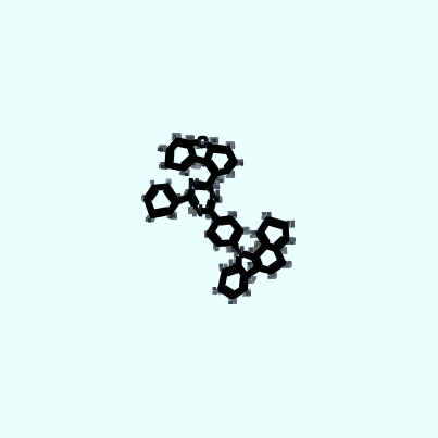 c1ccc(-c2nc(-c3ccc(-n4c5ccccc5c5ccc6ccccc6c54)cc3)nc(-c3cccc4oc5ccccc5c34)n2)cc1